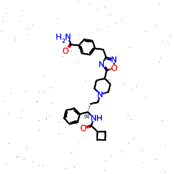 NC(=O)c1ccc(Cc2noc(C3CCN(CC[C@H](NC(=O)C4CCC4)c4ccccc4)CC3)n2)cc1